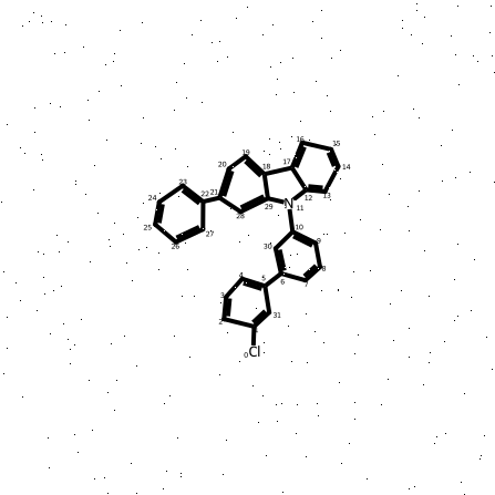 Clc1cccc(-c2cccc(-n3c4ccccc4c4ccc(-c5ccccc5)cc43)c2)c1